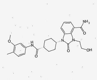 COc1cc(NC(=O)[C@H]2CC[C@@H](n3c(=O)n(CCO)c4c(C(N)=O)cccc43)CC2)ccc1C